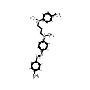 CN(CCCN(C)c1ccc(/N=N/c2ccc(N)cc2)cc1)c1ccc(N)cc1